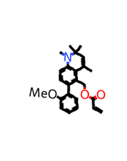 C=CC(=O)OCc1c(-c2ccccc2OC)ccc2c1C(C)=CC(C)(C)N2C